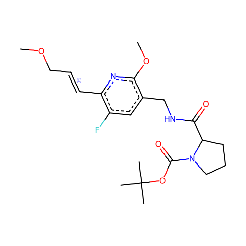 COC/C=C/c1nc(OC)c(CNC(=O)C2CCCN2C(=O)OC(C)(C)C)cc1F